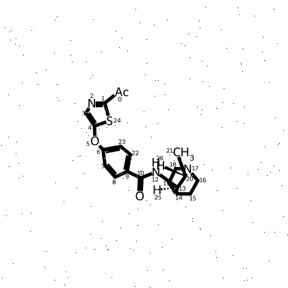 CC(=O)c1ncc(Oc2ccc(C(=O)N[C@@H]3C4CCN(CC4)[C@H]3C)cc2)s1